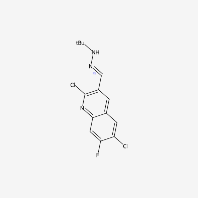 CC(C)(C)N/N=C/c1cc2cc(Cl)c(F)cc2nc1Cl